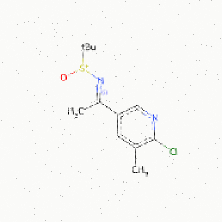 C/C(=N\[S+]([O-])C(C)(C)C)c1cnc(Cl)c(C)c1